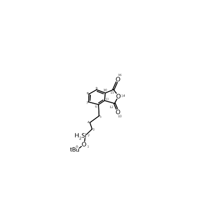 CC(C)(C)O[SiH2]CCCc1cccc2c1C(=O)OC2=O